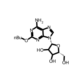 CCCCOc1nc(N)c2ncn([C@@H]3O[C@H](CO)C(O)C3O)c2n1